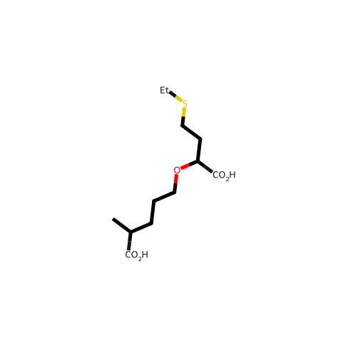 CCSCCC(OCCCC(C)C(=O)O)C(=O)O